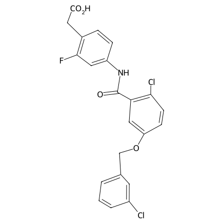 O=C(O)Cc1ccc(NC(=O)c2cc(OCc3cccc(Cl)c3)ccc2Cl)cc1F